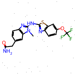 Cn1c(Nc2nc3ccc(OC(F)(F)F)cc3s2)nc2ccc(CC(N)=O)cc21